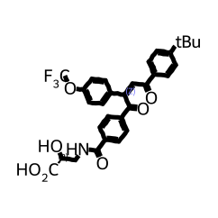 CC(C)(C)c1ccc(C(=O)/C=C(\C(=O)c2ccc(C(=O)NC[C@@H](O)C(=O)O)cc2)c2ccc(OC(F)(F)F)cc2)cc1